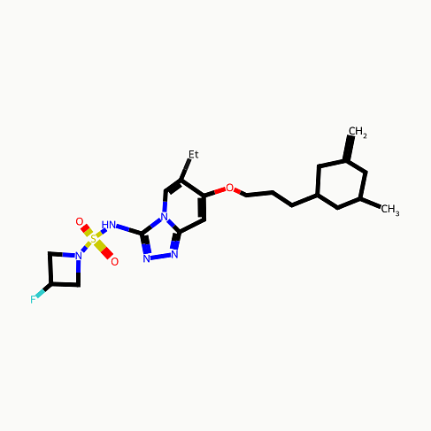 C=C1CC(C)CC(CCCOc2cc3nnc(NS(=O)(=O)N4CC(F)C4)n3cc2CC)C1